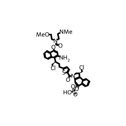 CNCCN(CCOC)C(=O)Oc1cc(N)c([C@H](CCl)CCc2ccc(C(=O)N3C[C@@H](CCl)c4c3cc(OP(=O)(O)O)c3ccccc43)s2)c2ccccc12